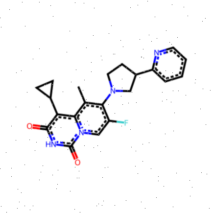 Cc1c(N2CCC(c3ccccn3)C2)c(F)cn2c(=O)[nH]c(=O)c(C3CC3)c12